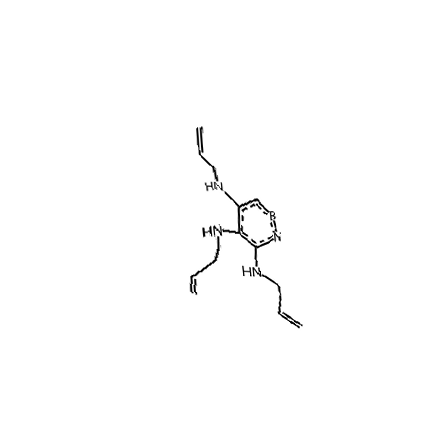 C=CCNc1cbnc(NCC=C)c1NCC=C